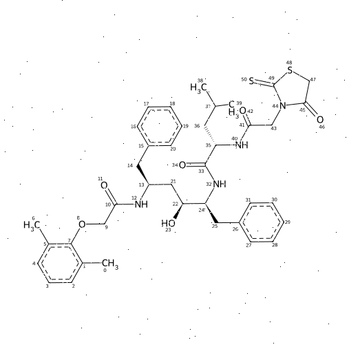 Cc1cccc(C)c1OCC(=O)N[C@@H](Cc1ccccc1)C[C@H](O)[C@H](Cc1ccccc1)NC(=O)[C@H](CC(C)C)NC(=O)CN1C(=O)CSC1=S